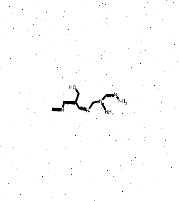 C=N/C=C(\C=N/CN(N)/C=N\N)CO